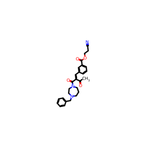 CC(=O)/C(=C\c1cccc(C(=O)OCCC#N)c1)C(=O)N1CCCN(Cc2ccccc2)CC1